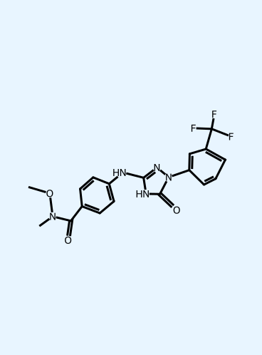 CON(C)C(=O)c1ccc(Nc2nn(-c3cccc(C(F)(F)F)c3)c(=O)[nH]2)cc1